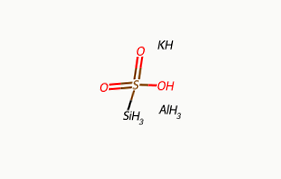 O=S(=O)(O)[SiH3].[AlH3].[KH]